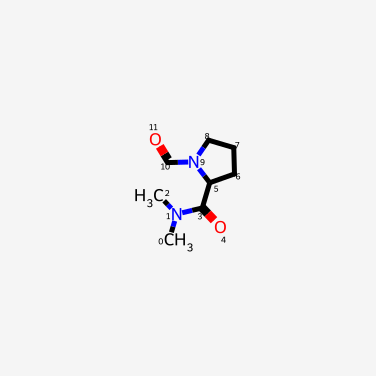 CN(C)C(=O)C1CCCN1C=O